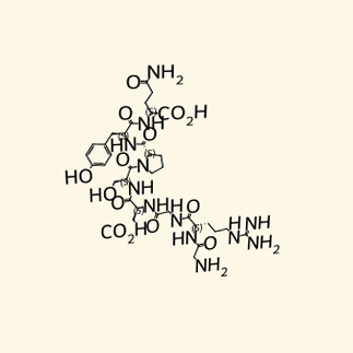 N=C(N)NCCC[C@H](NC(=O)CN)C(=O)NCC(=O)N[C@@H](CC(=O)O)C(=O)N[C@@H](CO)C(=O)N1CCC[C@H]1C(=O)N[C@@H](Cc1ccc(O)cc1)C(=O)N[C@@H](CCC(N)=O)C(=O)O